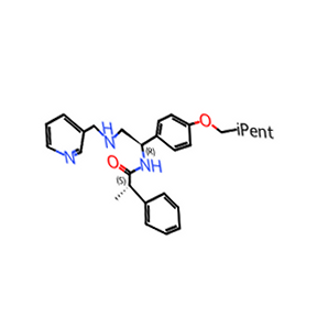 CCCC(C)COc1ccc([C@H](CNCc2cccnc2)NC(=O)[C@@H](C)c2ccccc2)cc1